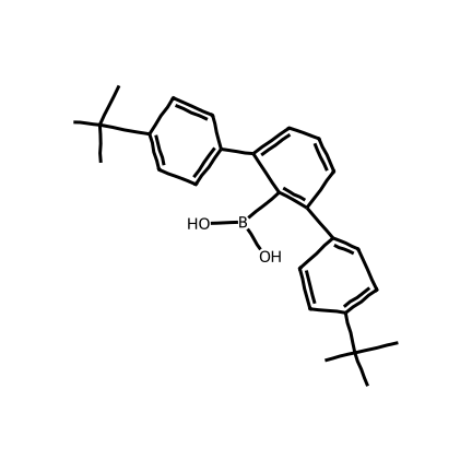 CC(C)(C)c1ccc(-c2cccc(-c3ccc(C(C)(C)C)cc3)c2B(O)O)cc1